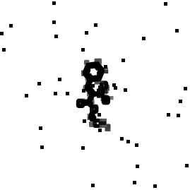 C=COC(=O)/C(=C/c1ccccc1)[N+](=O)[O-]